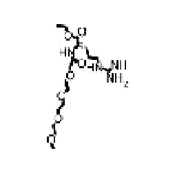 CCOC(=O)[C@H](CCCNC(=N)N)NC(=O)COCCOCCOCCOC